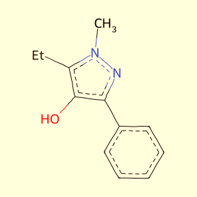 CCc1c(O)c(-c2ccccc2)nn1C